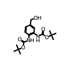 CC(C)(C)OC(=O)Nc1ccc(CO)cc1NC(=O)OC(C)(C)C